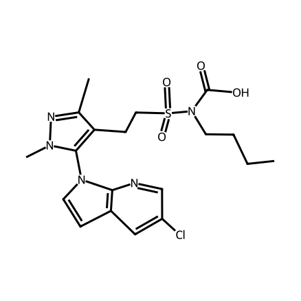 CCCCN(C(=O)O)S(=O)(=O)CCc1c(C)nn(C)c1-n1ccc2cc(Cl)cnc21